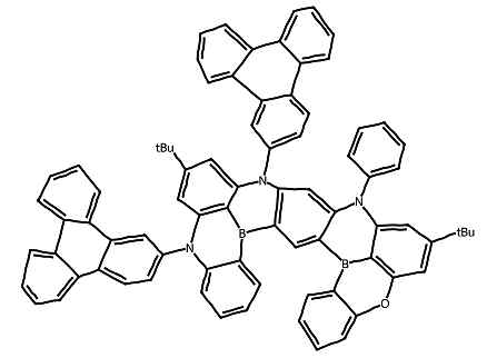 CC(C)(C)c1cc2c3c(c1)N(c1ccccc1)c1cc4c(cc1B3c1ccccc1O2)B1c2ccccc2N(c2ccc3c5ccccc5c5ccccc5c3c2)c2cc(C(C)(C)C)cc(c21)N4c1ccc2c3ccccc3c3ccccc3c2c1